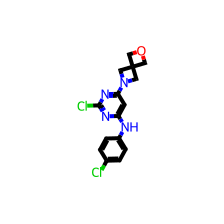 Clc1ccc(Nc2cc(N3CC4(COC4)C3)nc(Cl)n2)cc1